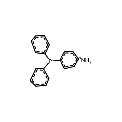 [47NH3].c1ccc(P(c2ccccc2)c2ccccc2)cc1